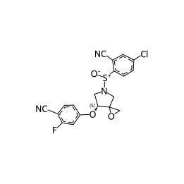 N#Cc1ccc(O[C@H]2CN([S+]([O-])c3ccc(Cl)cc3C#N)CC23CO3)cc1F